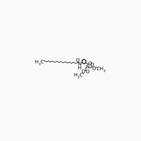 CCCCCCCCCCCCCCCCCC(=O)Nc1cccc(C(=O)N(CC(=O)OCC)CC(=O)OCC)c1